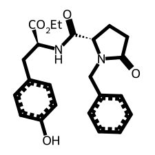 CCOC(=O)[C@H](Cc1ccc(O)cc1)NC(=O)[C@@H]1CCC(=O)N1Cc1ccccc1